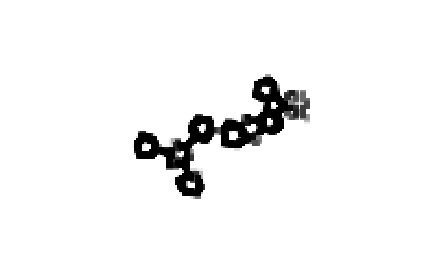 CC1(C)c2ccccc2-c2c1ccc1c2Oc2cc(-c3cccc(-c4nc(-c5ccccc5)nc(-c5ccccn5)n4)c3)ccc2O1